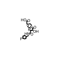 O=C(O)CN1CCn2c(nc(C(=O)NCc3ccc(F)cc3)c(O)c2=O)C1